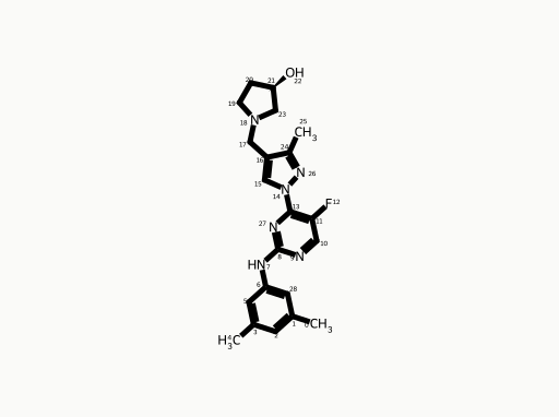 Cc1cc(C)cc(Nc2ncc(F)c(-n3cc(CN4CC[C@@H](O)C4)c(C)n3)n2)c1